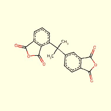 CC(C)(c1ccc2c(c1)C(=O)OC2=O)c1cccc2c1C(=O)OC2=O